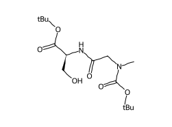 CN(CC(=O)N[C@@H](CO)C(=O)OC(C)(C)C)C(=O)OC(C)(C)C